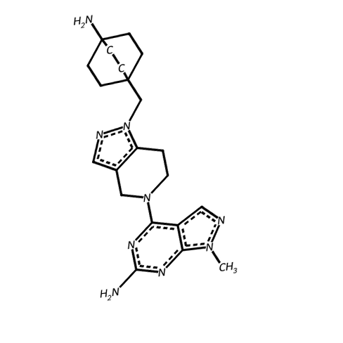 Cn1ncc2c(N3CCc4c(cnn4CC45CCC(N)(CC4)CC5)C3)nc(N)nc21